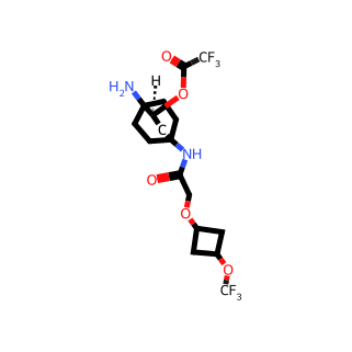 NC12CCC(NC(=O)COC3CC(OC(F)(F)F)C3)(CC1)C[C@@H]2OC(=O)C(F)(F)F